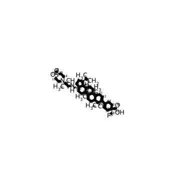 C=C(C)[C@@H]1CC[C@]2(CNCC(C)(C)N3CCS(=O)(=O)CC3)CC[C@]3(C)[C@H](CCC4[C@@]5(C)CC=C(C6=CC[C@](CF)(C(=O)O)CC6)C(C)(C)C5CC[C@]43C)C12